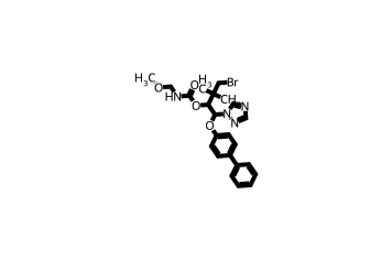 COCNC(=O)OC(C(Oc1ccc(-c2ccccc2)cc1)n1cncn1)C(C)(C)CBr